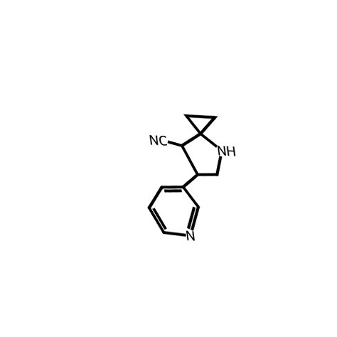 N#CC1C(c2cccnc2)CNC12CC2